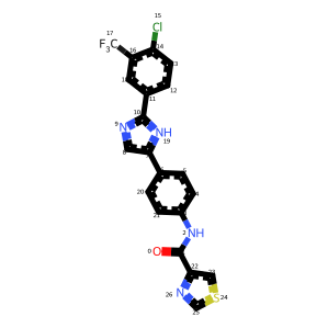 O=C(Nc1ccc(-c2cnc(-c3ccc(Cl)c(C(F)(F)F)c3)[nH]2)cc1)c1cscn1